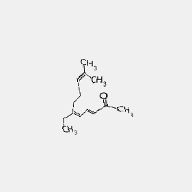 CCC(=CC=CC(C)=O)CCC=C(C)C